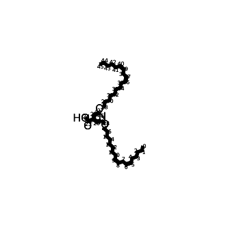 CCCCC/C=C\C/C=C\CCCCCCCCOc1cc(C(=O)O)cc(OCCCCCCCC/C=C\C/C=C\CCCCC)n1